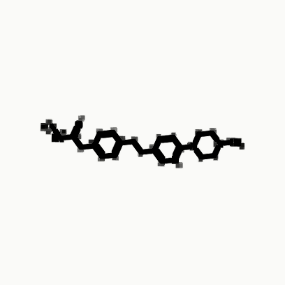 CN1CCN(c2ccc(CCc3ccc(CC(=O)NN)cc3)cn2)CC1